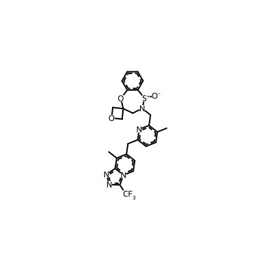 Cc1ccc(Cc2ccn3c(C(F)(F)F)nnc3c2C)nc1CN1CC2(COC2)Oc2ccccc2[S+]1[O-]